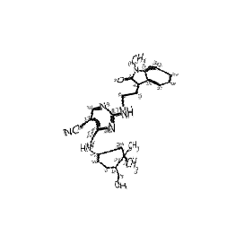 CN1C(=O)C(CCNc2ncc(C#N)c(N[C@@H]3CC[C@H](CO)C(C)(C)C3)n2)C2=CCCC=C21